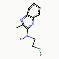 CCNCCN(CC)c1nc2ccccc2nc1C